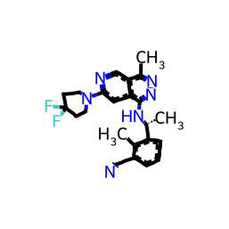 Cc1c(C#N)cccc1[C@@H](C)Nc1nnc(C)c2cnc(N3CCC(F)(F)CC3)cc12